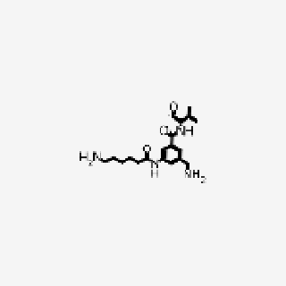 CC(C)[C@H]([C]=O)NC(=O)c1cc(CN)cc(NC(=O)CCCCCN)c1